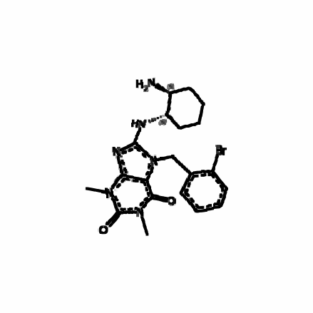 Cn1c(=O)c2c(nc(N[C@H]3CCCC[C@@H]3N)n2Cc2ccccc2Br)n(C)c1=O